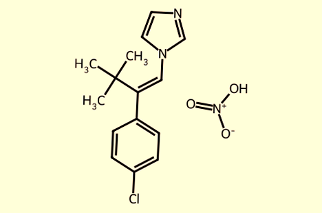 CC(C)(C)/C(=C\n1ccnc1)c1ccc(Cl)cc1.O=[N+]([O-])O